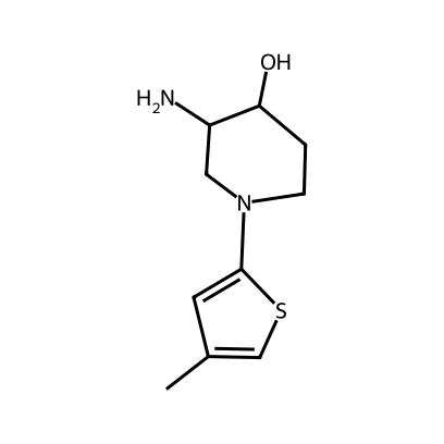 Cc1csc(N2CCC(O)C(N)C2)c1